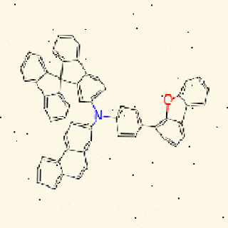 c1ccc2c(c1)-c1ccccc1C21c2ccccc2-c2ccc(N(c3ccc(-c4cccc5c4oc4ccccc45)cc3)c3ccc4c(ccc5ccccc54)c3)cc21